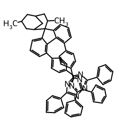 CC1CC2CC(C)C3(c4cccc(-c5ccc(-c6nc(-c7ccccc7)nc(-c7ccccc7)n6)cc5)c4-c4c(-c5ccc(-c6nc(-c7ccccc7)nc(-c7ccccc7)n6)cc5)cccc43)C(C1)C2